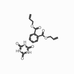 C=CCOC(=O)c1ccccc1C(=O)OCC=C.O=c1[nH]c(=O)[nH]c(=O)[nH]1